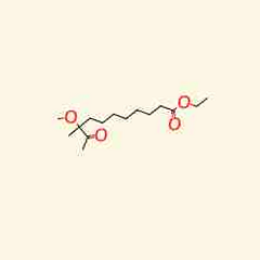 CCOC(=O)CCCCCCCC(C)(OC)C(C)=O